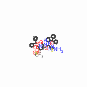 Nc1nc(C(=NOC(c2ccccc2)(c2ccccc2)c2ccccc2)C(=O)N[C@@H]2C(=O)N3C(C(=O)OC(c4ccccc4)c4ccccc4)=C(OS(=O)(=O)C(F)(F)F)CC[C@H]23)ns1